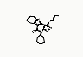 CCCSc1nnc2n(C3CCCCC3)c(=O)c3c4c(sc3n12)CCCC4